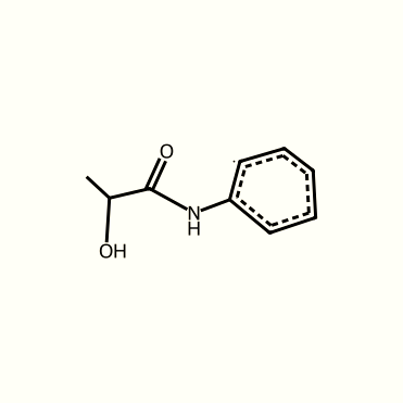 CC(O)C(=O)Nc1[c]cccc1